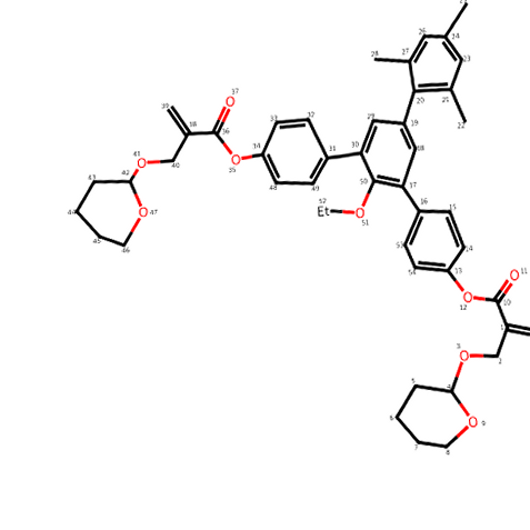 C=C(COC1CCCCO1)C(=O)Oc1ccc(-c2cc(-c3c(C)cc(C)cc3C)cc(-c3ccc(OC(=O)C(=C)COC4CCCCO4)cc3)c2OCC)cc1